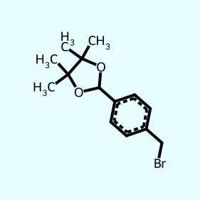 CC1(C)OC(c2ccc(CBr)cc2)OC1(C)C